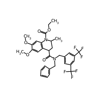 CCOC(=O)N1c2cc(OC)c(OC)cc2C(C(=O)N(Cc2ccccc2)Cc2cc(C(F)(F)F)cc(C(F)(F)F)c2)CC1C